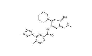 CN/C=C1/C=C(NC(=O)c2ccc(C)c(-c3cnn(C)c3)n2)C(N2CCCCC2)=CC1=N